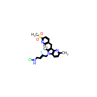 Cc1ccc2c(n1)c(Cc1ccc(S(C)(=O)=O)nc1)c(C)n2C/C(F)=C/CNCl